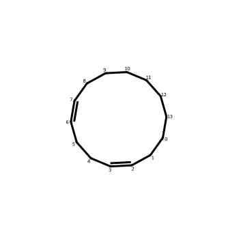 [CH]1CC=CCCC=CCCCCCC1